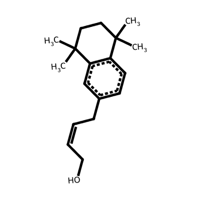 CC1(C)CCC(C)(C)c2cc(C/C=C\CO)ccc21